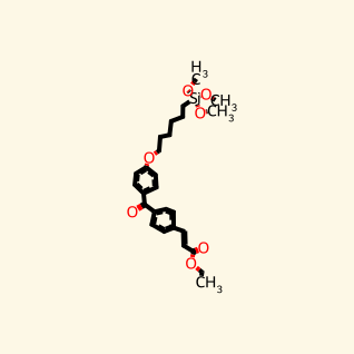 CCOC(=O)C=Cc1ccc(C(=O)c2ccc(OCCCCCC[Si](OC)(OC)OC)cc2)cc1